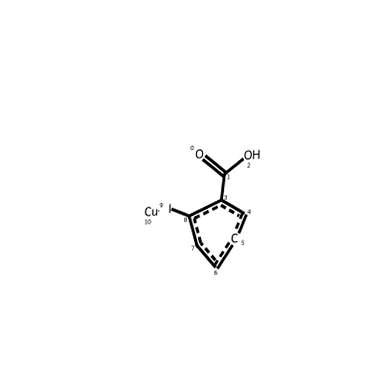 O=C(O)c1ccccc1I.[Cu]